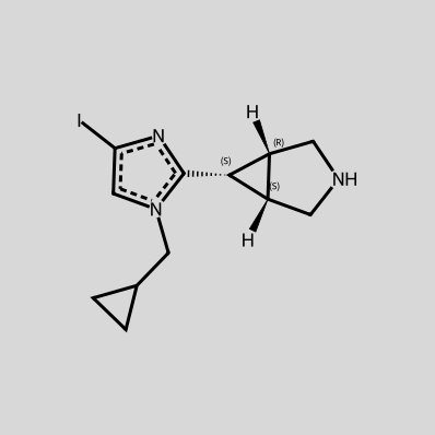 Ic1cn(CC2CC2)c([C@@H]2[C@@H]3CNC[C@@H]32)n1